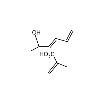 C=C(C)C(=O)O.C=CC=CC(C)O